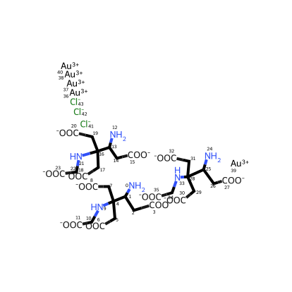 NC(CC(=O)[O-])C(CC(=O)[O-])(CC(=O)[O-])NCC(=O)[O-].NC(CC(=O)[O-])C(CC(=O)[O-])(CC(=O)[O-])NCC(=O)[O-].NC(CC(=O)[O-])C(CC(=O)[O-])(CC(=O)[O-])NCC(=O)[O-].[Au+3].[Au+3].[Au+3].[Au+3].[Au+3].[Cl-].[Cl-].[Cl-]